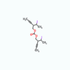 CC#CC(COC(=O)OCC(C#CC)C(C)I)C(C)I